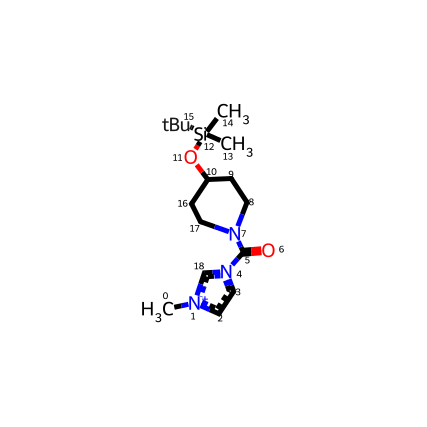 C[n+]1ccn(C(=O)N2CCC(O[Si](C)(C)C(C)(C)C)CC2)c1